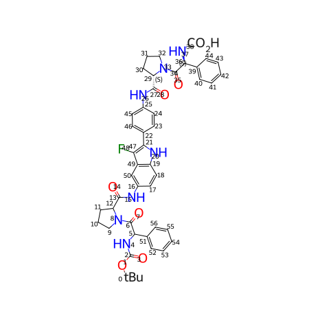 CC(C)(C)OC(=O)NC(C(=O)N1CCCC1C(=O)Nc1ccc2[nH]c(-c3ccc(NC(=O)[C@@H]4CCCN4C(=O)[C@@H](NC(=O)O)c4ccccc4)cc3)c(F)c2c1)c1ccccc1